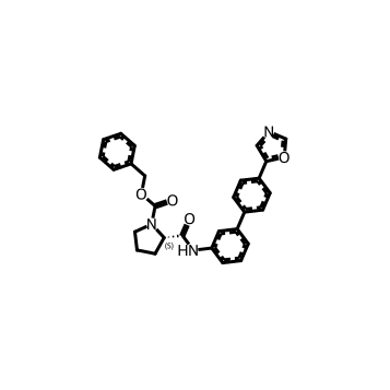 O=C(Nc1cccc(-c2ccc(-c3cnco3)cc2)c1)[C@@H]1CCCN1C(=O)OCc1ccccc1